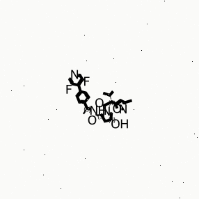 Cc1cc([C@H](C(=O)N2C[C@H](O)C[C@H]2C(=O)N[C@@H](C)c2ccc(-c3c(F)cncc3F)cc2)C(C)C)on1